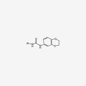 CC(C)NC(=O)Nc1ccc2c(c1)OCCO2